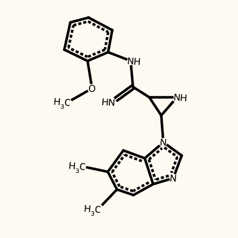 COc1ccccc1NC(=N)C1NC1n1cnc2cc(C)c(C)cc21